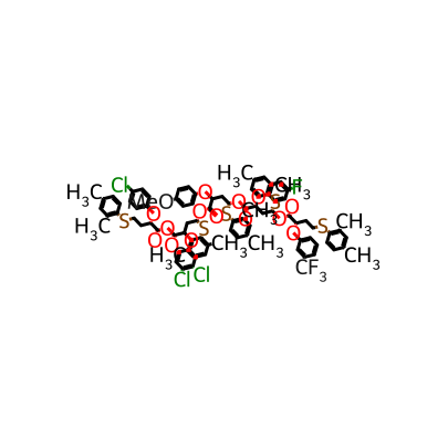 COc1ccc(OC(CC(OC(=O)C(CC(OC(=O)C(CCSc2ccc(C)cc2C)Oc2cccc(C(F)(F)F)c2)Sc2ccc(C)cc2C)Oc2ccc(F)cc2)Sc2ccc(C)cc2C)C(=O)OC(CC(Oc2ccc(Cl)c(Cl)c2)C(=O)OC(=O)C(CCSc2ccc(C)cc2C)Oc2ccc(Cl)cc2)Sc2cc(C)ccc2C)cc1